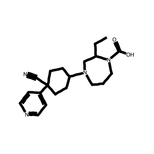 CCC1CN(C2CCC(C#N)(c3ccncc3)CC2)CCCN1C(=O)O